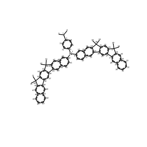 CC(C)c1ccc(N(c2ccc3cc4c(cc3c2)C(C)(C)c2cc3c(cc2-4)-c2cc4ccccc4cc2C3(C)C)c2ccc3cc4c(cc3c2)C(C)(C)c2cc3c(cc2-4)-c2cc4ccccc4cc2C3(C)C)cc1